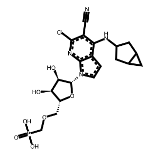 N#Cc1c(Cl)nc2c(ccn2[C@@H]2O[C@H](COCP(=O)(O)O)[C@@H](O)[C@H]2O)c1NC1CC2CC2C1